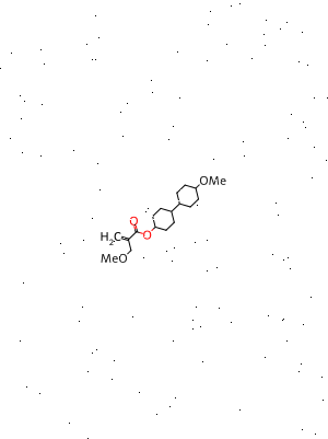 C=C(COC)C(=O)OC1CCC(C2CCC(OC)CC2)CC1